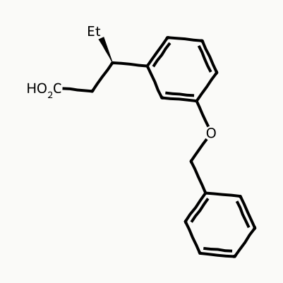 CC[C@H](CC(=O)O)c1cccc(OCc2ccccc2)c1